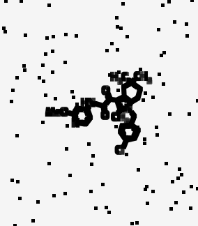 COc1cc(NC(=O)C(=O)c2c3c(n(Cc4ccc(Cl)cc4)c2C)CCC(C)(C)C3)ccn1